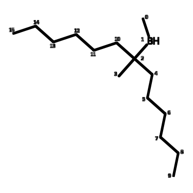 CBC(C)(CCCCCC)CCCCCC